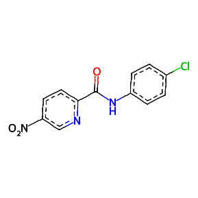 O=C(Nc1ccc(Cl)cc1)c1ccc([N+](=O)[O-])cn1